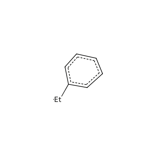 C[CH]c1ccccc1